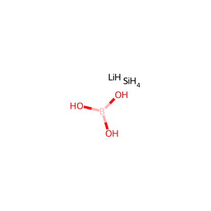 OB(O)O.[LiH].[SiH4]